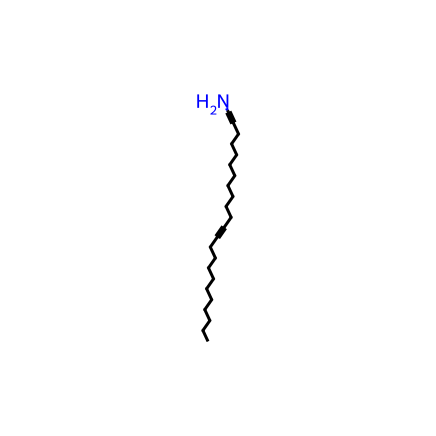 CCCCCCCCCCC#CCCCCCCCCCC#CN